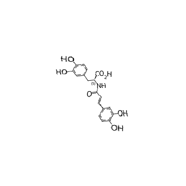 O=C(C=Cc1ccc(O)c(O)c1)N[C@@H](Cc1ccc(O)c(O)c1)C(=O)O